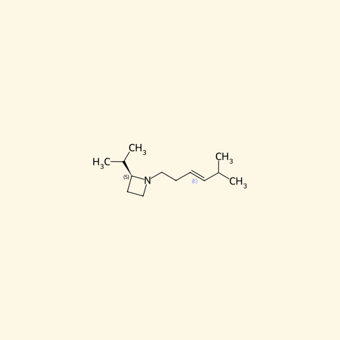 CC(C)/C=C/CCN1CC[C@H]1C(C)C